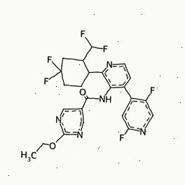 CCOc1ncc(C(=O)Nc2c(-c3cc(F)ncc3F)ccnc2C2CCC(F)(F)CC2C(F)F)cn1